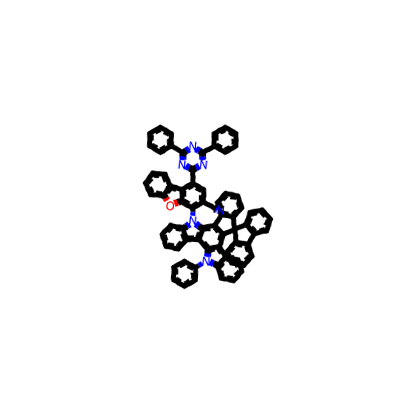 N#Cc1cc(-c2nc(-c3ccccc3)nc(-c3ccccc3)n2)c2c(oc3ccccc32)c1-n1c2ccccc2c2c1c1c(c3c4ccccc4n(-c4ccccc4)c32)C2(c3ccccc3-c3ccccc32)c2ccccc2-1